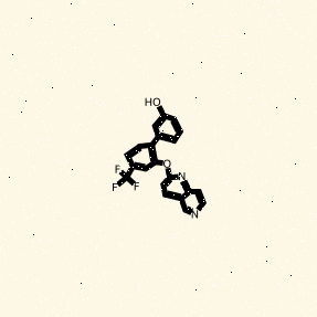 Oc1cccc(-c2ccc(C(F)(F)F)cc2Oc2ccc3cnccc3n2)c1